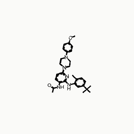 COc1ccc(N2CCN(c3ccc(NC(C)=O)c(Nc4cc(C(C)(C)C)ccc4C)n3)CC2)cc1